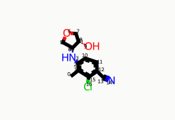 Cc1c(N[C@@H]2COC[C@@H]2O)ccc(C#N)c1Cl